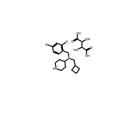 Clc1ccc(CN(CC2CCC2)C2CCNCC2)c(Cl)c1.O=C(O)C(O)C(O)C(=O)O